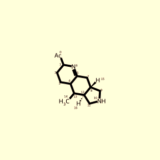 CC(=O)C1CCC2C(=N1)C[C@@H]1CNC[C@H]1C2C